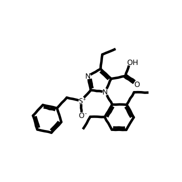 CCc1cccc(CC)c1-n1c([S+]([O-])Cc2ccccc2)nc(CC)c1C(=O)O